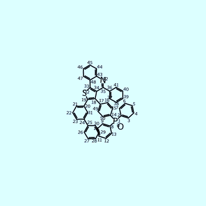 O=P(c1ccccc1)(c1ccccc1)c1ccc(-c2c(-c3cccc(-c4ccccc4)c3)sc3c2c(-c2ccccc2)nc2ccccc23)cc1